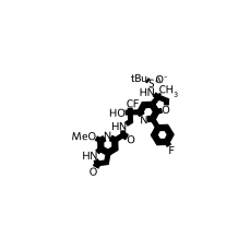 COc1nc(C(=O)NCC(O)(c2cc3c(c(-c4ccc(F)cc4)n2)OC[C@@]3(C)N[S+]([O-])C(C)(C)C)C(F)(F)F)cc2c1NC(=O)C2